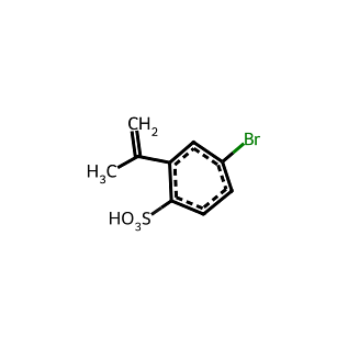 C=C(C)c1cc(Br)ccc1S(=O)(=O)O